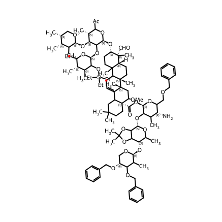 CCC1O[C@@H](OC2[C@H](O[C@H]3CCC4(C)C5CC=C6C7CC(C)(C)CC[C@]7(C(=O)O[C@H]7OC(COCc8ccccc8)[C@H](N)C(C)C7O[C@@H]7OC(C)[C@H](O[C@@H]8OC[C@@H](OCc9ccccc9)C(OCc9ccccc9)C8C)C8OC(C)(C)OC87)C(OC)C[C@@]6(C)[C@@]5(C)CC[C@H]4[C@@]3(C)C=O)OC(C(C)=O)[C@@H](C)[C@@H]2O[C@@H]2OC[C@@H](C)[C@@H](C)C2C)C(O[Si](CC)(CC)CC)[C@@H](C)[C@@H]1C